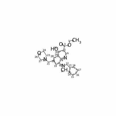 CCOC(=O)c1cnc2c(N(C)Cc3ccccc3)cc(CN3CCOCC3)cc2c1O